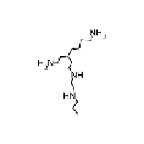 CCCNCCNCCC(/C=C/CCN)CCN